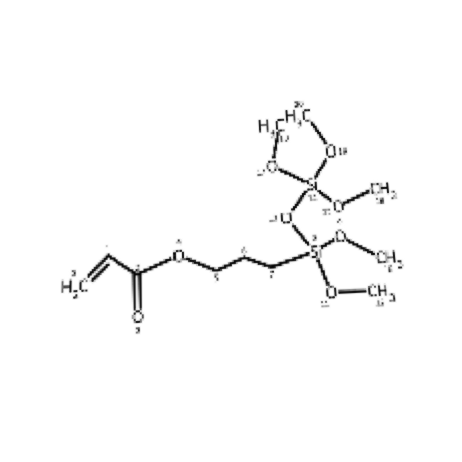 C=CC(=O)OCCC[Si](OC)(OC)O[Si](OC)(OC)OC